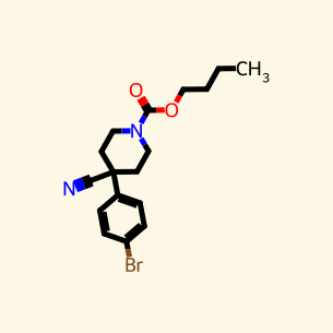 CCCCOC(=O)N1CCC(C#N)(c2ccc(Br)cc2)CC1